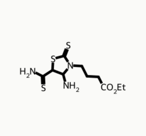 CCOC(=O)CCCN1C(=S)SC(C(N)=S)C1N